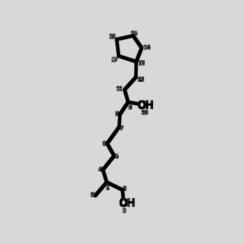 CC(CO)CCCCCC(O)CCC1CCCC1